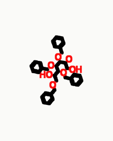 O=C(CO)[C@@H](OCc1ccccc1)[C@@H](OCc1ccccc1)[C@H](OCc1ccccc1)[C@H](O)COCc1ccccc1